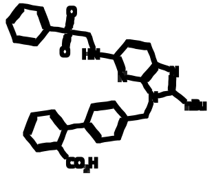 CCCCc1nc2ccc(NCS(=O)(=O)c3ccccc3)nc2n1Cc1ccc(-c2ccccc2C(=O)O)cc1